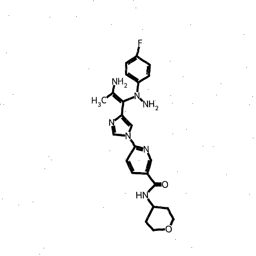 C/C(N)=C(\c1cn(-c2ccc(C(=O)NC3CCOCC3)cn2)cn1)N(N)c1ccc(F)cc1